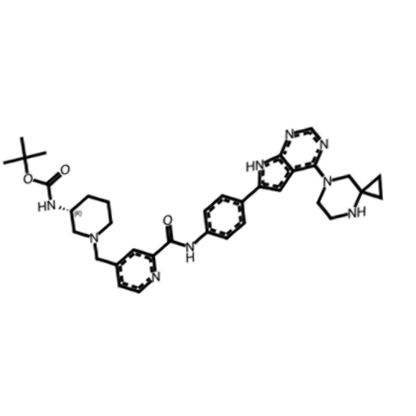 CC(C)(C)OC(=O)N[C@@H]1CCCN(Cc2ccnc(C(=O)Nc3ccc(-c4cc5c(N6CCNC7(CC7)C6)ncnc5[nH]4)cc3)c2)C1